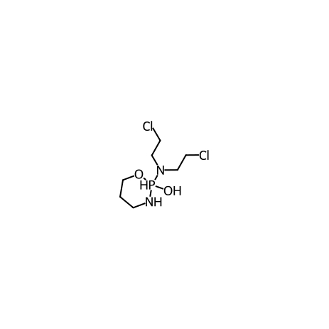 O[PH]1(N(CCCl)CCCl)NCCCO1